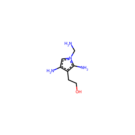 NCn1cc(N)c(CCO)c1N